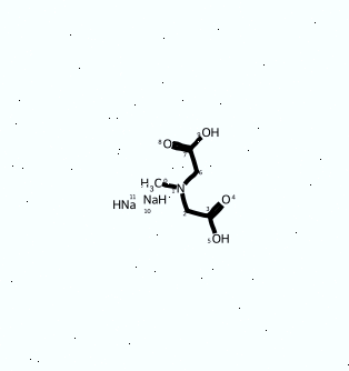 CN(CC(=O)O)CC(=O)O.[NaH].[NaH]